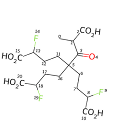 CC(C(=O)O)C(=O)C(CCC(F)C(=O)O)(CCC(F)C(=O)O)CCC(F)C(=O)O